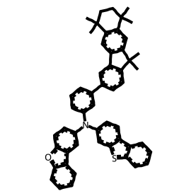 CC1(C)CCC(C)(C)c2cc3c(cc21)-c1cc(-c2cccc(N(c4ccc5c(c4)sc4ccccc45)c4ccc5oc6ccccc6c5c4)c2)ccc1C3(C)C